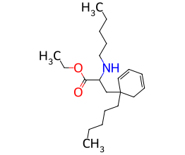 CCCCCNC(CC1(CCCCC)C=CC=CC1)C(=O)OCC